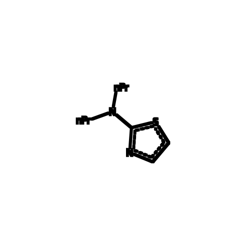 CCCN(CCC)c1nccs1